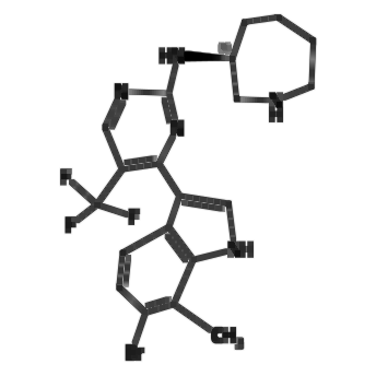 Cc1c(Br)ccc2c(-c3nc(N[C@H]4CCCCNC4)ncc3C(F)(F)F)c[nH]c12